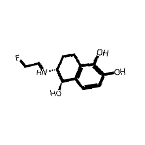 Oc1ccc2c(c1O)CC[C@@H](NCCF)[C@@H]2O